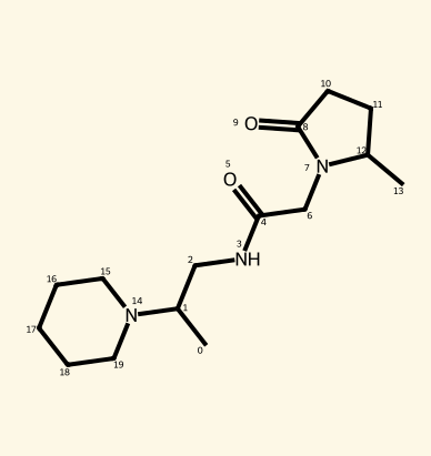 CC(CNC(=O)CN1C(=O)CCC1C)N1CCCCC1